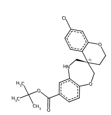 CC(C)(C)OC(=O)c1ccc2c(c1)NC[C@@]1(CCOc3cc(Cl)ccc31)CO2